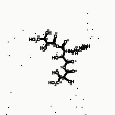 O=C(CC(O)C(=O)OC(=O)C(O)C(O)C(=O)O)OC(=O)C(O)C(O)C(=O)O.[NaH].[NaH].[NaH].[NaH]